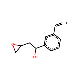 C=Cc1cccc(C(O)CC2CO2)c1